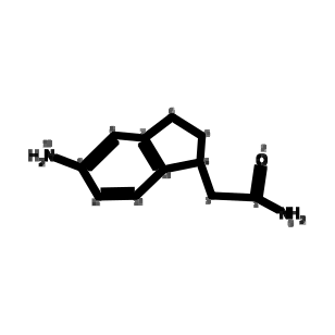 NC(=O)CC1CCc2cc(N)ccc21